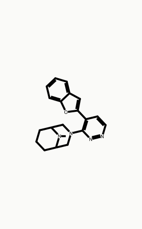 CN1C2CCCC1CN(c1nnccc1-c1cc3ccccc3o1)C2